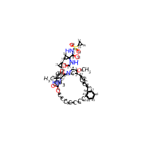 CO[C@@]12C[C@@H](C(=O)N[C@]3(C(=O)NS(=O)(=O)C4CC4)C[C@@H]3C3CC3)N(C1)C(=O)[C@H](C(C)(C)C)NC(=O)OCCCCCCCc1ccccc1-c1ccc2cc1